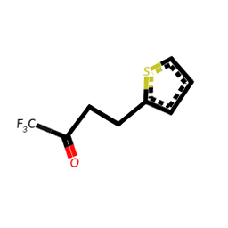 O=C(CCc1cccs1)C(F)(F)F